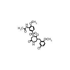 COc1ccc(Cl)cc1CC1CNC(=O)CN(S(=O)(=O)c2ccc(OC)c(NC(C)=O)c2)C1=O